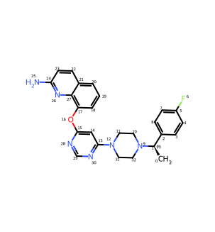 C[C@H](c1ccc(F)cc1)N1CCN(c2cc(Oc3cccc4ccc(N)nc34)ncn2)CC1